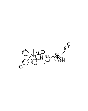 COc1ccc(C(Nc2ccn(C3OC(COP(=O)(O)OCCSC=O)CC3C)c(=O)n2)(c2ccccc2)c2ccccc2)cc1